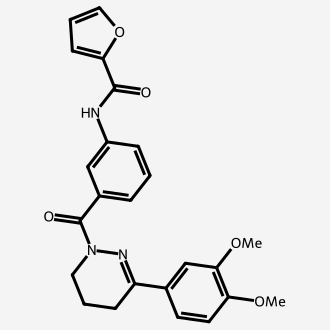 COc1ccc(C2=NN(C(=O)c3cccc(NC(=O)c4ccco4)c3)CCC2)cc1OC